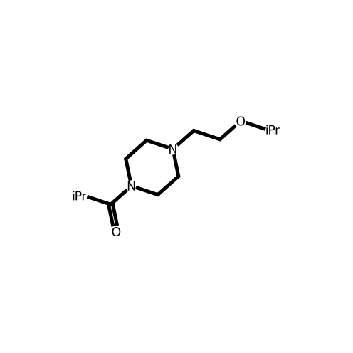 CC(C)OCCN1CCN(C(=O)C(C)C)CC1